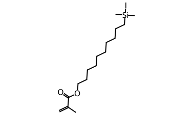 C=C(C)C(=O)OCCCCCCCCCC[Si](C)(C)I